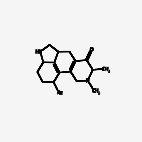 CC(=O)C1CCC2NCC3CC4=C(CN(C)C(C)C4=O)C1=C32